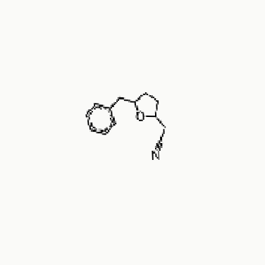 N#CCC1CCC(Cc2ccccc2)O1